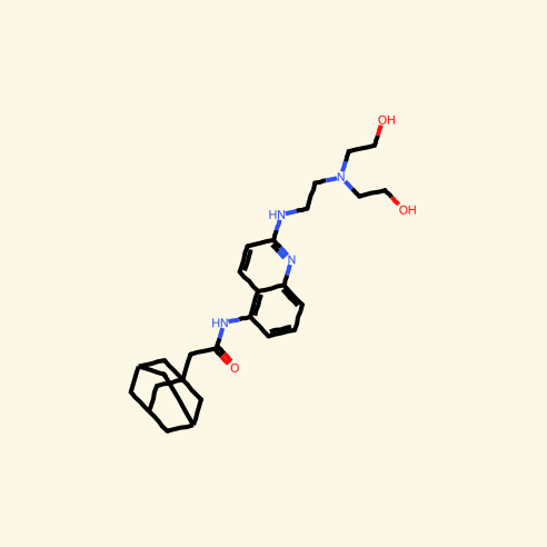 O=C(CC12CC3CC(CC(C3)C1)C2)Nc1cccc2nc(NCCN(CCO)CCO)ccc12